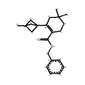 CC1(C)CCC(C(=O)OCc2ccccc2)=C(C23CC(C)(C2)C3)C1